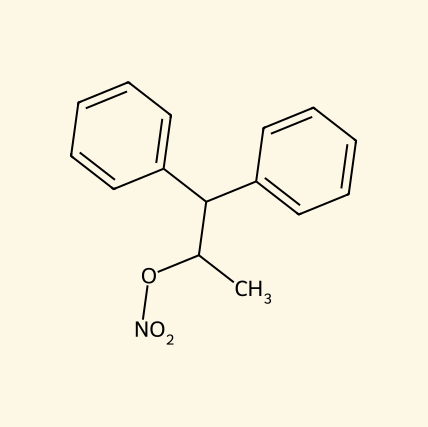 CC(O[N+](=O)[O-])C(c1ccccc1)c1ccccc1